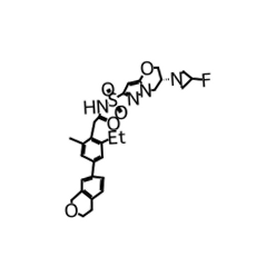 CCc1cc(-c2ccc3c(c2)COCC3)cc(C)c1CC(=O)NS(=O)(=O)c1cc2n(n1)C[C@@H](N1CC(F)C1)CO2